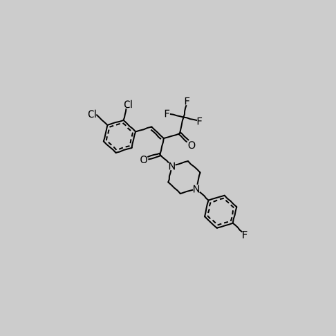 O=C(C(=Cc1cccc(Cl)c1Cl)C(=O)C(F)(F)F)N1CCN(c2ccc(F)cc2)CC1